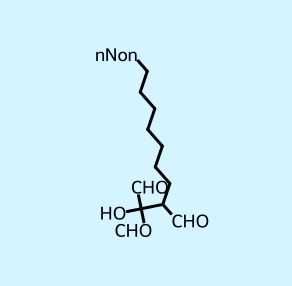 CCCCCCCCCCCCCCCCC(C=O)C(O)(C=O)C=O